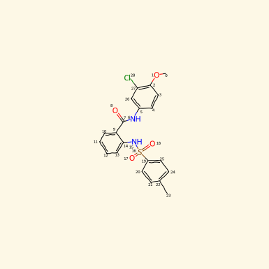 COc1ccc(NC(=O)c2ccccc2NS(=O)(=O)c2ccc(C)cc2)cc1Cl